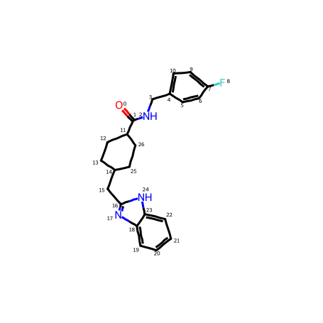 O=C(NCc1ccc(F)cc1)C1CCC(Cc2nc3ccccc3[nH]2)CC1